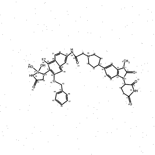 Cn1c(=O)n(C2CCC(=O)NC2=O)c2ccc(C3CCN(CC(=O)Nc4ccc5c(F)c(N6CC(=O)NS6(O)O)c(OCc6ccccc6)cc5c4)CC3)cc21